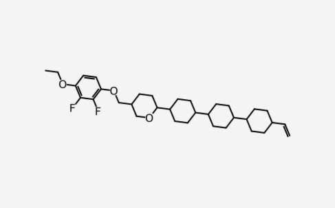 C=CC1CCC(C2CCC(C3CCC(C4CCC(COc5ccc(OCC)c(F)c5F)CO4)CC3)CC2)CC1